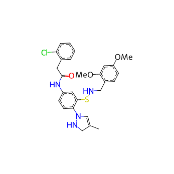 COc1ccc(CNSc2cc(NC(=O)Cc3ccccc3Cl)ccc2N2C=C(C)CN2)c(OC)c1